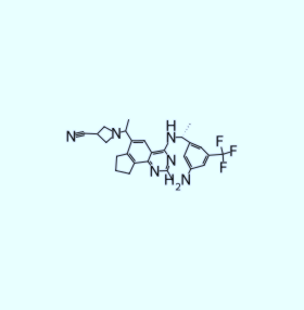 Cc1nc(N[C@H](C)c2cc(N)cc(C(F)(F)F)c2)c2cc(C(C)N3CC(C#N)C3)c3c(c2n1)CCC3